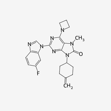 C=C1CCC(n2c(=O)n(C)c3c(N4CCC4)nc(-n4cnc5ccc(F)cc54)nc32)CC1